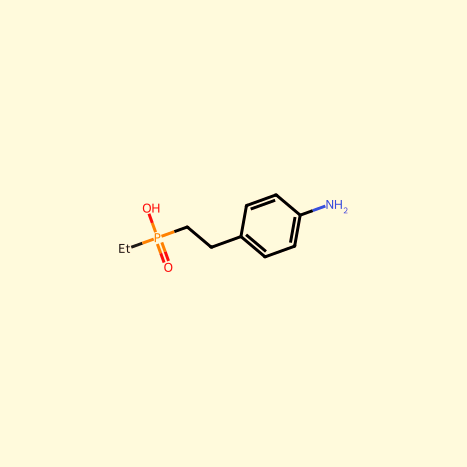 CCP(=O)(O)CCc1ccc(N)cc1